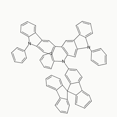 c1ccc(N(c2ccc3c(c2)C2(c4ccccc4-c4ccccc42)c2ccccc2-3)c2cc3c(cc2-c2ccc4c(c2)c2ccccc2n4-c2ccccc2)c2ccccc2n3-c2ccccc2)cc1